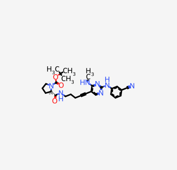 CNc1nc(Nc2cccc(C#N)c2)ncc1C#CCCCNC(=O)[C@@H]1CCCN1C(=O)OC(C)(C)C